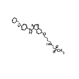 CS(=O)(=O)CCNCCCCOc1ccc2c(Nc3ccc(OCc4ccccc4)cc3)ncnc2c1